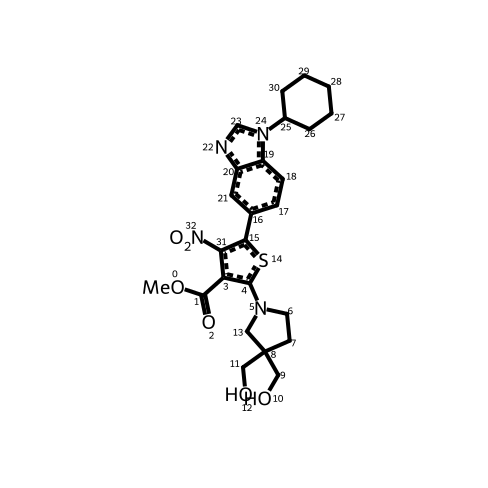 COC(=O)c1c(N2CCC(CO)(CO)C2)sc(-c2ccc3c(c2)ncn3C2CCCCC2)c1[N+](=O)[O-]